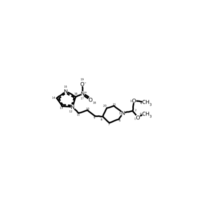 COC(OC)N1CCC(CCCn2ccnc2[N+](=O)[O-])CC1